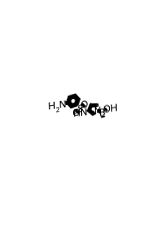 CB(O)N1CC[C@@H](NS(=O)(=O)c2cccc(N)c2)C1